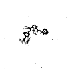 N#Cc1ccc(N2C(=O)C3CN4CC(C(=O)CSc5ccccc5)[N+]3(C4)C2=O)cc1C(F)(F)F